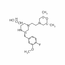 COc1cc(C[C@@H]2CN(CCN3C[C@@H](C)O[C@@H](C)C3)CCN2)ccc1F.Cl.Cl.Cl